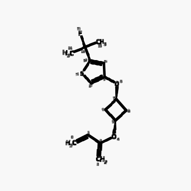 C=CC(=C)O[C@H]1C[C@@H](Oc2csc(C(C)(C)F)c2)C1